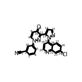 N#Cc1cccc(-n2ccc(=O)c(-c3ccnn3-c3ccnc4cc(Cl)ccc34)n2)c1